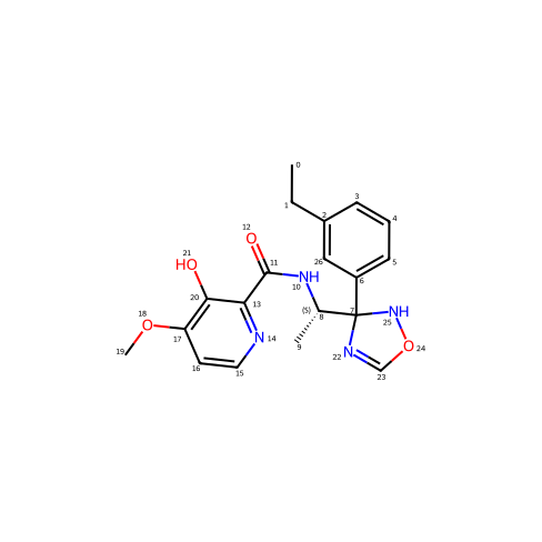 CCc1cccc(C2([C@H](C)NC(=O)c3nccc(OC)c3O)N=CON2)c1